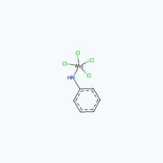 [Cl][Mo]([Cl])([Cl])([Cl])[NH]c1ccccc1